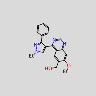 CCOc1cc2ncnc(-c3cn(CC)nc3-c3ccccc3)c2cc1CO